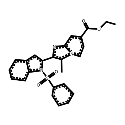 CCOC(=O)c1ccn2c(C)c(-c3cc4ccccc4n3S(=O)(=O)c3ccccc3)nc2c1